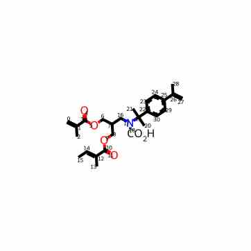 C=C(C)C(=O)OCC(COC(=O)C(C)=CC)CN(C(=O)O)C(C)(C)c1ccc(C(=C)C)cc1